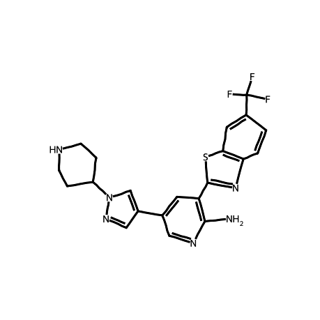 Nc1ncc(-c2cnn(C3CCNCC3)c2)cc1-c1nc2ccc(C(F)(F)F)cc2s1